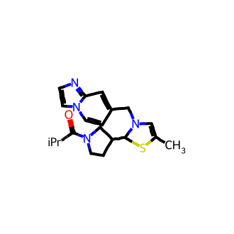 CC1=CN(Cc2ccn3ccnc3c2)C(C2CCN(C(=O)C(C)C)C2)S1